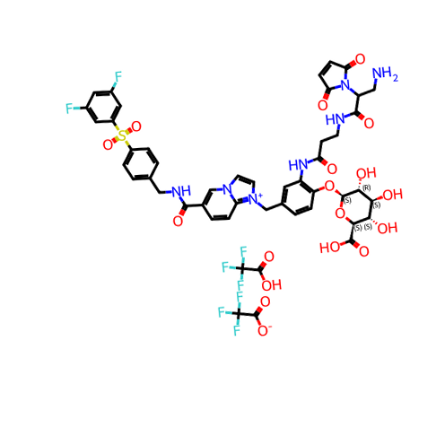 NCC(C(=O)NCCC(=O)Nc1cc(C[n+]2ccn3cc(C(=O)NCc4ccc(S(=O)(=O)c5cc(F)cc(F)c5)cc4)ccc32)ccc1O[C@@H]1O[C@H](C(=O)O)[C@@H](O)[C@H](O)[C@H]1O)N1C(=O)C=CC1=O.O=C(O)C(F)(F)F.O=C([O-])C(F)(F)F